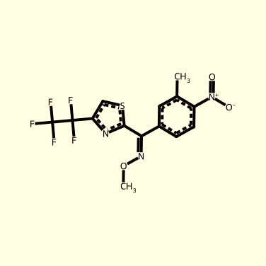 CON=C(c1ccc([N+](=O)[O-])c(C)c1)c1nc(C(F)(F)C(F)(F)F)cs1